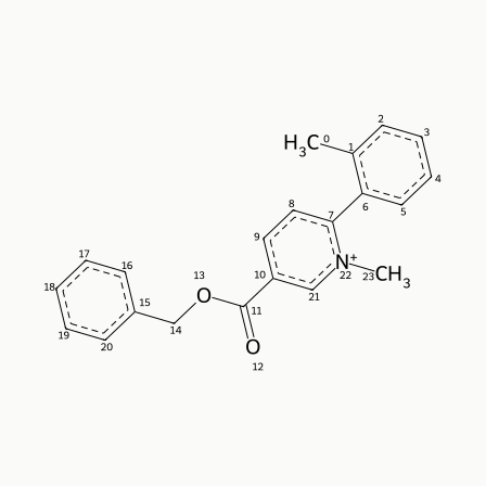 Cc1ccccc1-c1ccc(C(=O)OCc2ccccc2)c[n+]1C